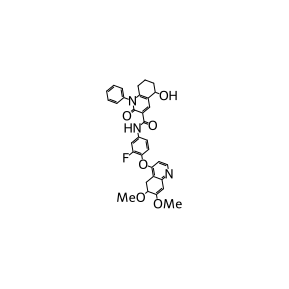 COC1=Cc2nccc(Oc3ccc(NC(=O)c4cc5c(n(-c6ccccc6)c4=O)CCCC5O)cc3F)c2CC1OC